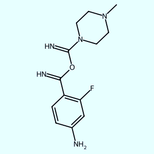 CN1CCN(C(=N)OC(=N)c2ccc(N)cc2F)CC1